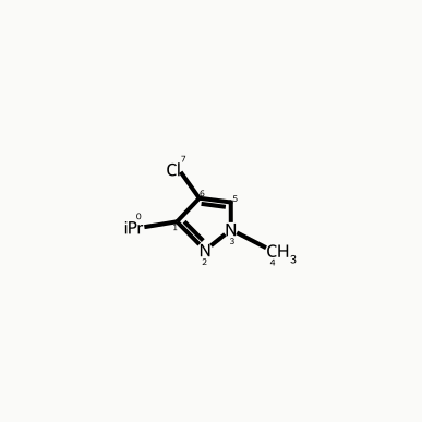 CC(C)c1nn(C)cc1Cl